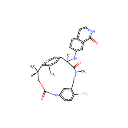 Bc1ccc2cc1CN(C)C(=O)[C@H](Nc1ccc3cc[nH]c(=O)c3c1)c1ccc(c(C)c1)[C@@H](C)COC(=O)N2